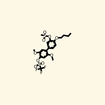 CCCCOc1ccc(-c2cc(OC)c(OS(=O)(=O)C(F)(F)F)cc2OC)cc1OS(C)(=O)=O